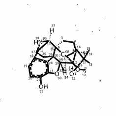 COC1[C@@H]2CC[C@@]3(C[C@@H]2[C@](C)(O)C(C)(C)C)[C@H]2Cc4ccc(O)c5c4[C@@]3(CCN2)[C@H]1O5